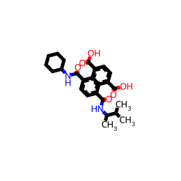 CC(C)C(C)NC(=O)c1ccc(C(=O)NC2CCCCC2)c2c(C(=O)O)ccc(C(=O)O)c12